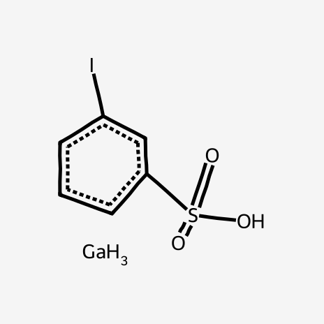 O=S(=O)(O)c1cccc(I)c1.[GaH3]